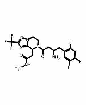 CNC(=O)CC1c2nc(C(F)(F)F)nn2CCN1C(=O)CC(N)Cc1cc(F)c(F)cc1F